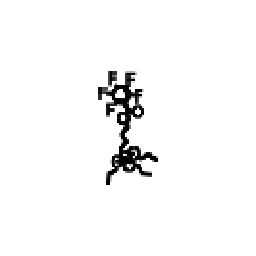 CCCO[Si](CCCCOC(=O)c1c(F)c(F)c(F)c(F)c1F)(OCCC)OCCC